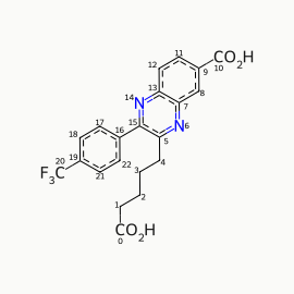 O=C(O)CCCCc1nc2cc(C(=O)O)ccc2nc1-c1ccc(C(F)(F)F)cc1